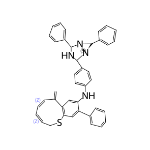 C=C1/C=C\C=C/CSc2cc(-c3ccccc3)c(Nc3ccc(C4NC(c5ccccc5)N5C(c6ccccc6)[N@@]45)cc3)cc21